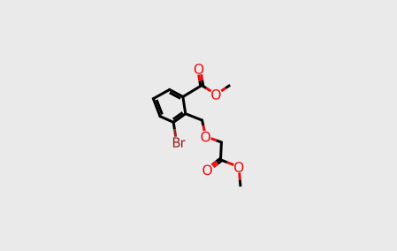 COC(=O)COCc1c(Br)cccc1C(=O)OC